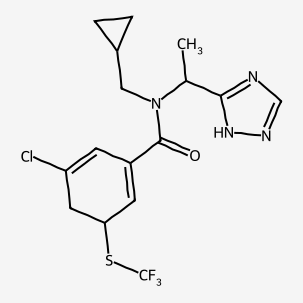 CC(c1ncn[nH]1)N(CC1CC1)C(=O)C1=CC(SC(F)(F)F)CC(Cl)=C1